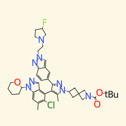 Cc1cc2c(cnn2C2CCCCO2)c(-c2c(-c3ccc4nn(CCN5CCC(F)C5)cc4c3)nn(C3CC4(C3)CN(C(=O)OC(C)(C)C)C4)c2C)c1Cl